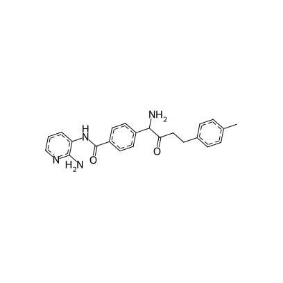 Cc1ccc(CCC(=O)C(N)c2ccc(C(=O)Nc3cccnc3N)cc2)cc1